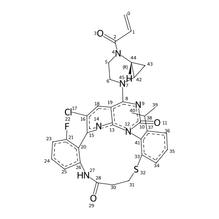 C=CC(=O)N1CCN(c2nc(=O)n3c4nc(c(Cl)cc24)-c2c(F)cccc2NC(=O)CCSc2cccc(C(C)C)c2-3)C2C[C@H]21